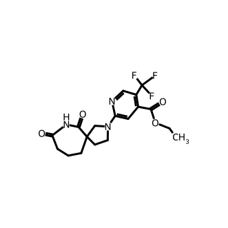 CCOC(=O)c1cc(N2CCC3(CCCC(=O)NC3=O)C2)ncc1C(F)(F)F